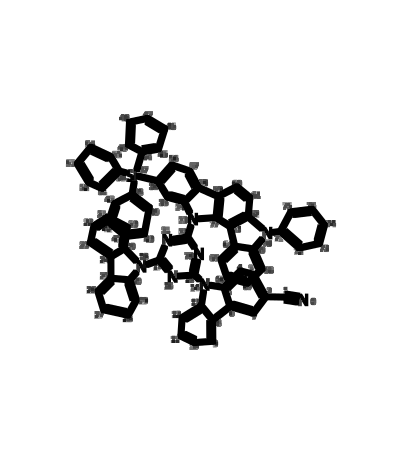 N#Cc1ccc2c(c1)c1ccccc1n2-c1nc(-n2c3ccccc3c3ccccc32)nc(-n2c3cc([Si](c4ccccc4)(c4ccccc4)c4ccccc4)ccc3c3ccc4c(c5ccccc5n4-c4ccccc4)c32)n1